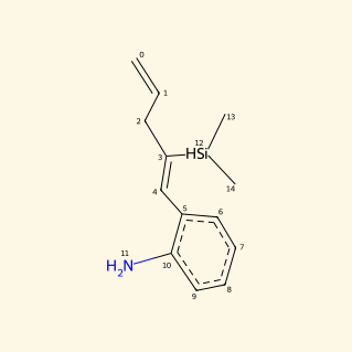 C=CCC(=Cc1ccccc1N)[SiH](C)C